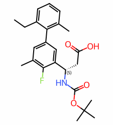 CCc1cccc(C)c1-c1cc(C)c(F)c([C@H](CC(=O)O)NC(=O)OC(C)(C)C)c1